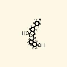 O=C(O)c1ccc(-c2ccc(F)cc2)cc1C=CCc1cccc2ccc(O)cc12